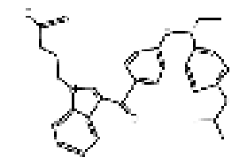 CC[C@@H](Oc1ccc(C(=O)c2cn(CCCC(=O)O)c3ccccc23)cc1)c1ccc(CC(C)C)cc1